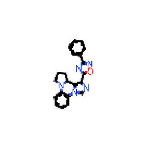 c1ccc(-c2noc(-c3ncn4c3C3CCCN3c3ccccc3-4)n2)cc1